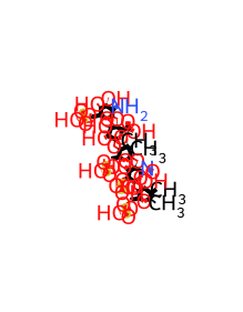 CC1[C@@H](O[C@H]2C(O)C(OS(=O)(=O)O)[C@H](O[C@@H]3C(COS(=O)(=O)O)O[C@H](C)C(C)[C@H]3O)O[C@H]2N=O)OC(COS(=O)(=O)O)[C@@H](O[C@@H]2OC(C(=O)O)[C@@H](O[C@H]3OC(COS(=O)(=O)O)[C@@H](O)[C@H](O)C3N)[C@H](O)C2O)[C@@H]1C